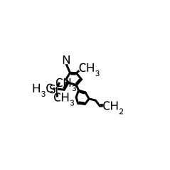 C=CCC1C=CCC(C2=CC(C)=C(C#N)C/C2=C\[Si](C)(C)C)=C1